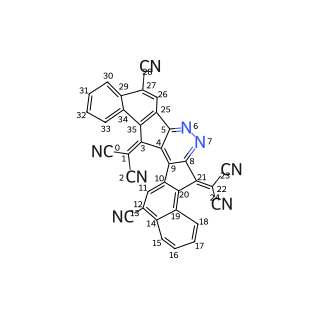 N#CC(C#N)=C1c2c(nnc3c2-c2cc(C#N)c4ccccc4c2C3=C(C#N)C#N)-c2cc(C#N)c3ccccc3c21